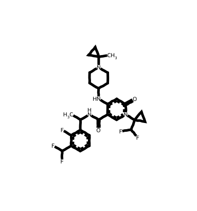 CC(NC(=O)c1cn(C2(C(F)F)CC2)c(=O)cc1NC1CCN(C2(C)CC2)CC1)c1cccc(C(F)F)c1F